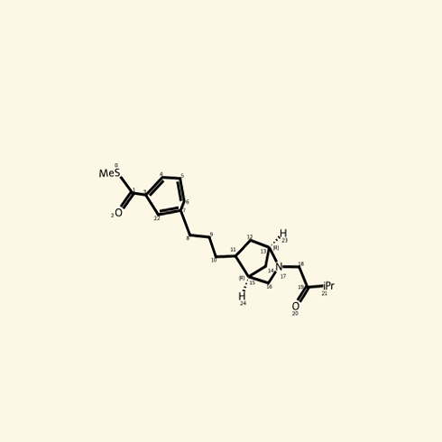 CSC(=O)c1cccc(CCCC2C[C@@H]3C[C@H]2CN3CC(=O)C(C)C)c1